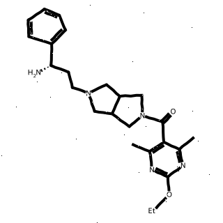 CCOc1nc(C)c(C(=O)N2CC3CN(CC[C@H](N)c4ccccc4)CC3C2)c(C)n1